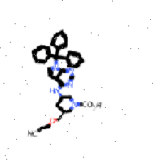 N#CCCOC[C@H]1C[C@@H](Nc2ncnc3c2ccn3C(c2ccccc2)(c2ccccc2)c2ccccc2)CN(C(=O)O)C1